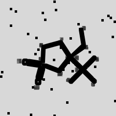 CC[C@]1(C(C)(C)C)CCS(=O)(=O)C1